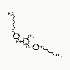 CCCCCCOc1ccc(Nc2nc(C)nc(Nc3ccc(OCCCCCC)cc3)n2)cc1